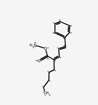 CCCCCC(=CC=Cc1ccccc1)C(=O)O[SiH3]